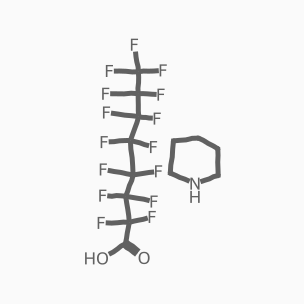 C1CCNCC1.O=C(O)C(F)(F)C(F)(F)C(F)(F)C(F)(F)C(F)(F)C(F)(F)C(F)(F)F